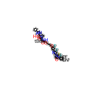 Cn1c(-c2ccccc2)cnc1C(O)C1CCCN1C(=O)[C@@H](NC(=O)COCCCCOc1ccc(-c2ncc(N3C(=S)N(c4ccc(C#N)c(C(F)(F)F)c4F)C(=O)C3(C)C)cc2F)cc1F)C(C)(C)C